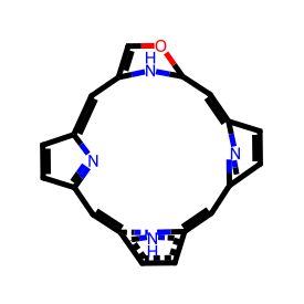 C1=CC2=NC1=CC1=COC(C=C3C=CC(=N3)C=c3ccc([nH]3)=C2)N1